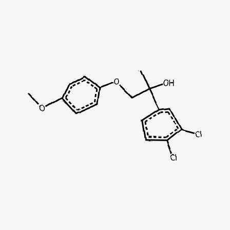 [CH2]C(O)(COc1ccc(OC)cc1)c1ccc(Cl)c(Cl)c1